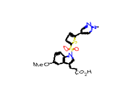 COc1ccc2c(c1)c(CCC(=O)O)cn2S(=O)(=O)c1ccc(-c2cnn(C)c2)s1